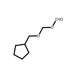 O=COCOCC1CCCC1